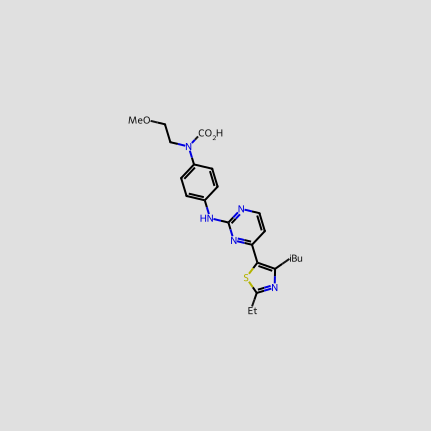 CCc1nc(C(C)CC)c(-c2ccnc(Nc3ccc(N(CCOC)C(=O)O)cc3)n2)s1